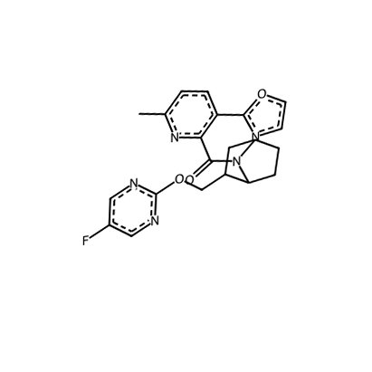 Cc1ccc(-c2ncco2)c(C(=O)N2C3CCC2C(COc2ncc(F)cn2)C3)n1